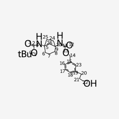 CC(C)(C)OC(=O)NC12CCCC(NC(=O)OCc3cccc(CCO)c3)(CC1)C2